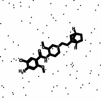 COc1cc(N)c(Cl)cc1C(=O)NC1CCN(CCC2C[C@@H]3CC[C@H]2C3)CC1OC